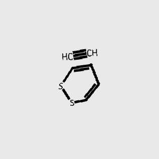 C#C.C1=CSSC=C1